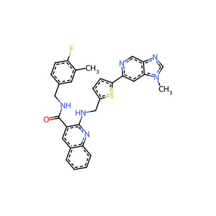 Cc1cc(CNC(=O)c2cc3ccccc3nc2NCc2ccc(-c3cc4c(cn3)ncn4C)s2)ccc1F